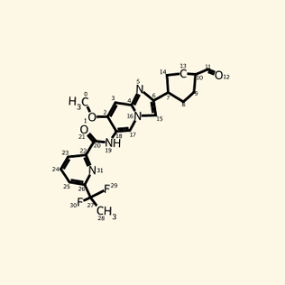 COc1cc2nc(C3CCC(C=O)CC3)cn2cc1NC(=O)c1cccc(C(C)(F)F)n1